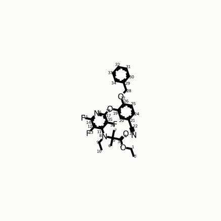 CCOC(=O)C(C)(C)N(CC)c1c(F)c(F)nc(Oc2cc(C#N)ccc2OCc2ccccc2)c1F